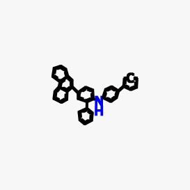 c1ccc(-c2ccc(Nc3ccc(-c4cc5ccccc5c5ccccc45)cc3-c3ccccc3)cc2)cc1